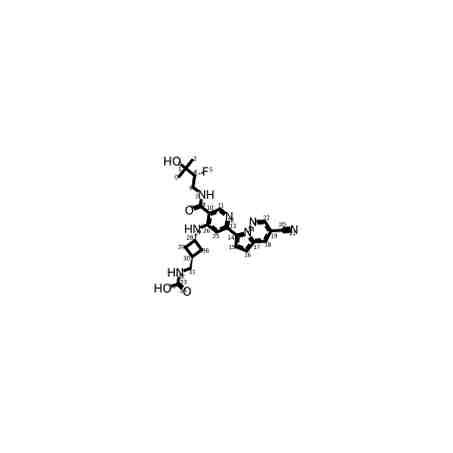 CC(C)(O)[C@H](F)CNC(=O)c1cnc(-c2ccc3cc(C#N)cnn23)cc1N[C@H]1C[C@H](CNC(=O)O)C1